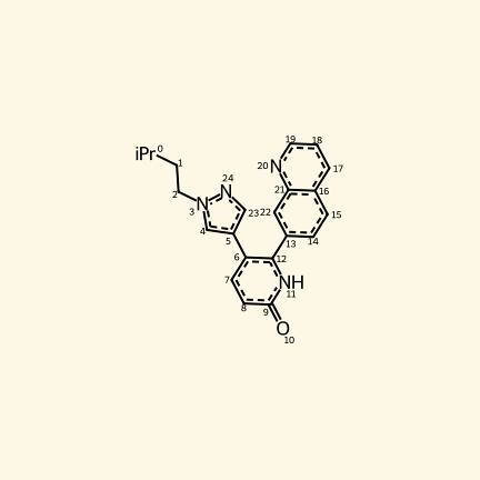 CC(C)CCn1cc(-c2ccc(=O)[nH]c2-c2ccc3cccnc3c2)cn1